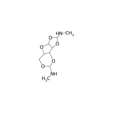 CNC1OCC2OC3OC(NC)OC3C2O1